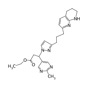 CCOC(=O)CC(c1cnc(C)nc1)n1ccc(CCCc2ccc3c(n2)NCCC3)n1